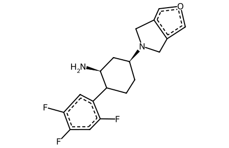 N[C@H]1C[C@@H](N2Cc3cocc3C2)CCC1c1cc(F)c(F)cc1F